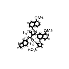 COc1nccc2c(-n3ncc(C(=O)Nc4ccc5scnc5c4)c3C(F)(F)F)cccc12.COc1nccc2c(-n3ncc(C(=O)O)c3C(F)(F)F)cccc12